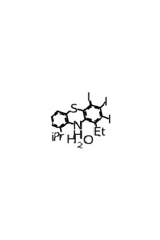 CCc1c(I)c(I)c(I)c2c1Nc1c(cccc1C(C)C)S2.O